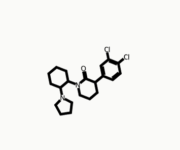 O=C1C(c2ccc(Cl)c(Cl)c2)CCCN1C1CCCCC1N1CCCC1